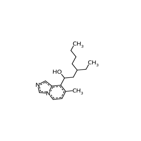 CCCCC(CC)CC(O)c1c(C)ccn2cncc12